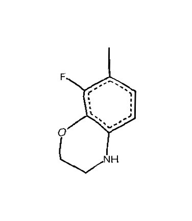 Cc1ccc2c(c1F)OCCN2